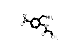 C=CC(=O)Nc1ccc([N+](=O)[O-])cc1CN